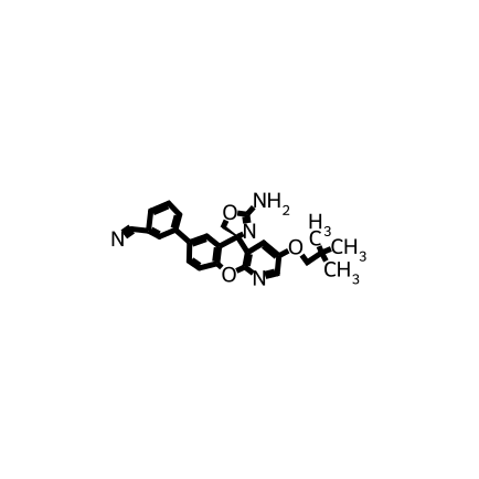 CC(C)(C)COc1cnc2c(c1)[C@]1(COC(N)=N1)c1cc(-c3cccc(C#N)c3)ccc1O2